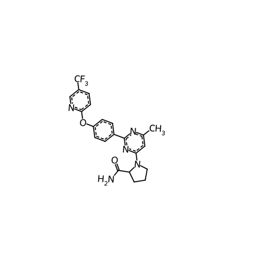 Cc1cc(N2CCCC2C(N)=O)nc(-c2ccc(Oc3ccc(C(F)(F)F)cn3)cc2)n1